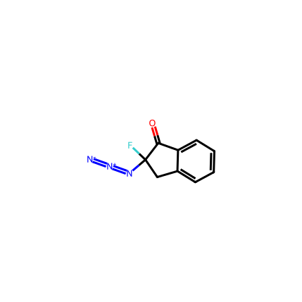 [N-]=[N+]=NC1(F)Cc2ccccc2C1=O